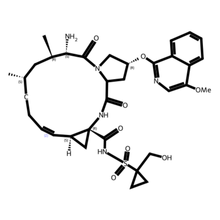 COc1cnc(O[C@@H]2CC3C(=O)N[C@]4(C(=O)NS(=O)(=O)C5(CO)CC5)C[C@H]4/C=C\CC[C@H](C)C[C@@H](C)[C@H](N)C(=O)N3C2)c2ccccc12